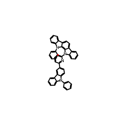 c1ccc(-n2c3ccccc3c3cc(-c4cccc(-n5c6ccccc6c6ccc7c8ccccc8n(-c8ccccc8)c7c65)n4)ccc32)cc1